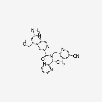 C[C@H](c1ncccn1)N(Cc1ccc(C#N)cn1)C(=O)c1cc2c3c(c(N)nc2cn1)COC3